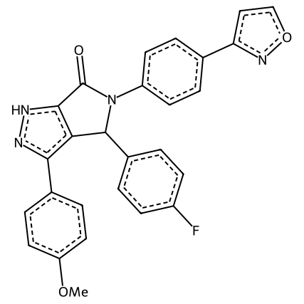 COc1ccc(-c2n[nH]c3c2C(c2ccc(F)cc2)N(c2ccc(-c4ccon4)cc2)C3=O)cc1